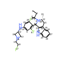 C=C(CC)N1[C@H](c2c(F)cc(NC3CN(CCF)C3)cc2F)c2[nH]c3ccccc3c2C[C@H]1C